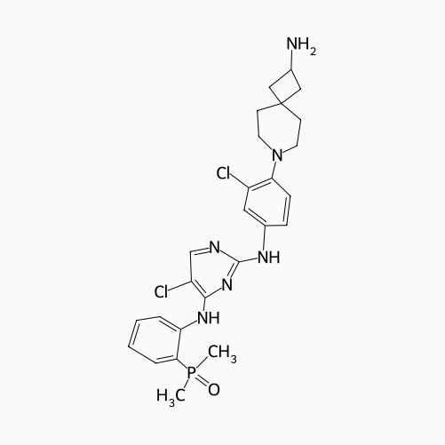 CP(C)(=O)c1ccccc1Nc1nc(Nc2ccc(N3CCC4(CC3)CC(N)C4)c(Cl)c2)ncc1Cl